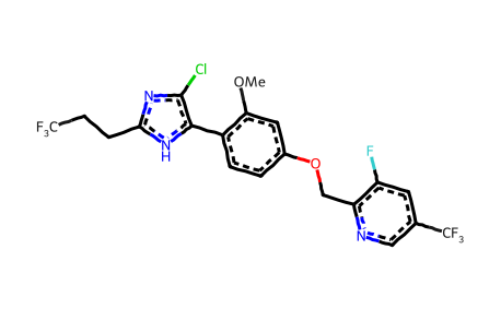 COc1cc(OCc2ncc(C(F)(F)F)cc2F)ccc1-c1[nH]c(CCC(F)(F)F)nc1Cl